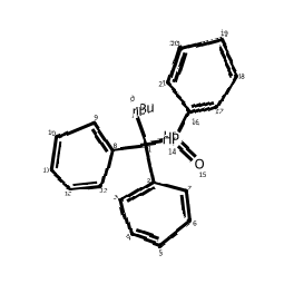 CCCCC(c1ccccc1)(c1ccccc1)[PH](=O)c1ccccc1